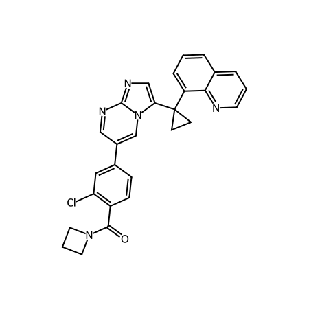 O=C(c1ccc(-c2cnc3ncc(C4(c5cccc6cccnc56)CC4)n3c2)cc1Cl)N1CCC1